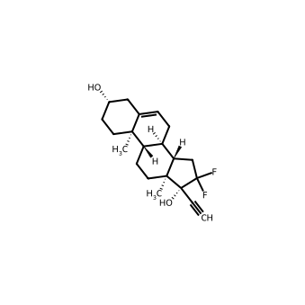 C#C[C@]1(O)C(F)(F)C[C@H]2[C@@H]3CC=C4C[C@@H](O)CC[C@]4(C)[C@H]3CC[C@@]21C